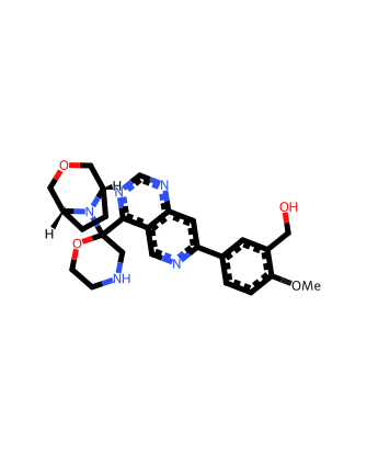 COc1ccc(-c2cc3ncnc(C4(N5[C@@H]6CC[C@H]5COC6)CNCCO4)c3cn2)cc1CO